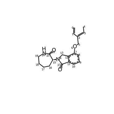 C=C/C(=C\C)COc1cccc2c1CN([C@H]1CCCCNC1=O)C2=O